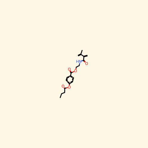 C=C(C)C(=C)C(=O)NCCOC(=O)c1ccc(OC(=O)CCC)cc1